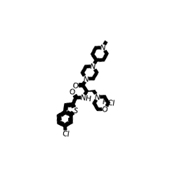 CN1CCC(N2CCN(C(=O)[C@@H](CN3CCOCC3)NC(=O)c3cc4ccc(Cl)cc4s3)CC2)CC1.Cl